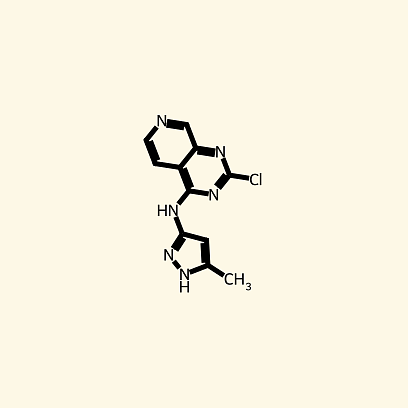 Cc1cc(Nc2nc(Cl)nc3cnccc23)n[nH]1